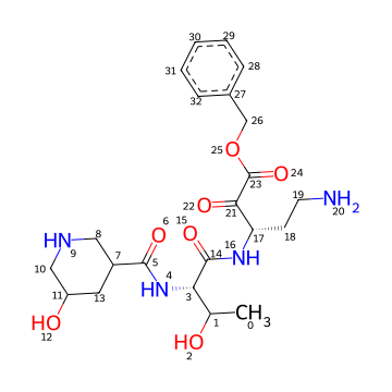 CC(O)[C@H](NC(=O)C1CNCC(O)C1)C(=O)N[C@@H](CCN)C(=O)C(=O)OCc1ccccc1